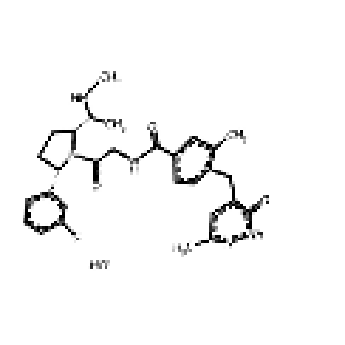 CNC(C)[C@H]1CC[C@@H](c2cccc(F)c2)N1C(=O)CNC(=O)c1ccc(Cc2cc(C)n[nH]c2=O)c(C)c1.Cl